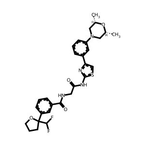 C[C@@H]1CN(c2cccc(-c3csc(NC(=O)CNC(=O)c4cccc(C5(C(F)F)CCCO5)c4)n3)c2)C[C@H](C)O1